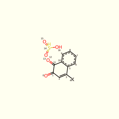 O=C1C=[C]([K])c2ccccc2C1=O.O=[SH](=O)O